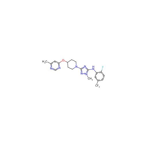 Cc1cc(OC2CCN(c3nc(Nc4cc(C(F)(F)F)ccc4F)n(C)n3)CC2)ncn1